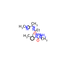 CCC(=NN=C(C)c1cnn(C)c1)OCc1c(C)cccc1N(N)C(=O)N(C)N